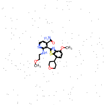 COCCNc1nccc(C(N)=O)c1-c1nc2c(OC)ccc(C3CCOCC3)c2s1